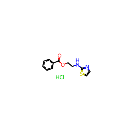 Cl.O=C(OCCNc1nccs1)c1ccccc1